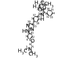 CCN(CC)CCOc1ccc(Nc2ncc(-c3ccc(CNC(C(=O)OC(C)(C)C)c4ccccc4)cc3)cn2)cc1